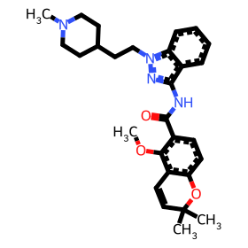 COc1c(C(=O)Nc2nn(CCC3CCN(C)CC3)c3ccccc23)ccc2c1C=CC(C)(C)O2